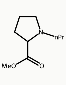 CCCN1CCCC1C(=O)OC